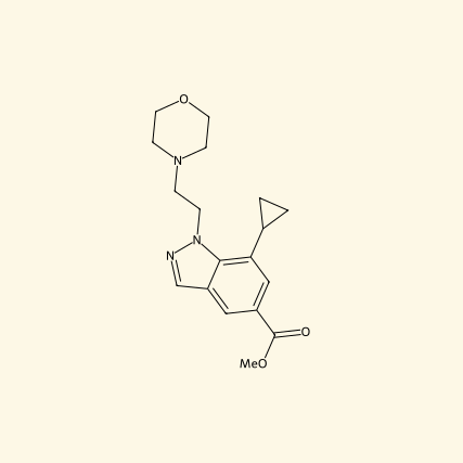 COC(=O)c1cc(C2CC2)c2c(cnn2CCN2CCOCC2)c1